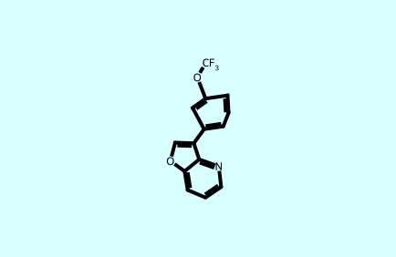 FC(F)(F)Oc1cccc(-c2coc3cccnc23)c1